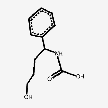 O=C(O)NC(CCCO)c1ccccc1